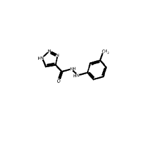 Cc1cccc(NNC(=O)c2c[nH]nn2)c1